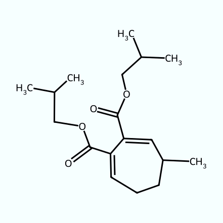 CC(C)COC(=O)C1=CCCC(C)C=C1C(=O)OCC(C)C